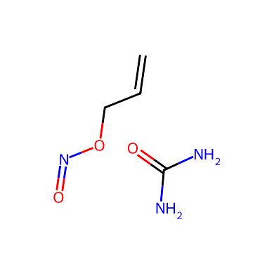 C=CCON=O.NC(N)=O